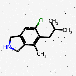 Cc1c(CC(C)C)c(Cl)cc2c1CNC2